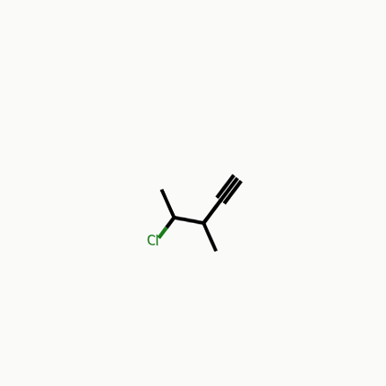 C#CC(C)C(C)Cl